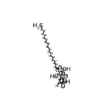 CCCCCCCCCCCCCCCCCCCCCC(=O)OC1C(O)[C@@H](n2cc(I)c(=O)[nH]c2=O)O[C@H]1CO